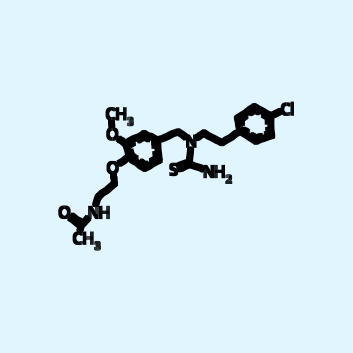 COc1cc(CN(CCc2ccc(Cl)cc2)C(N)=S)ccc1OCCNC(C)=O